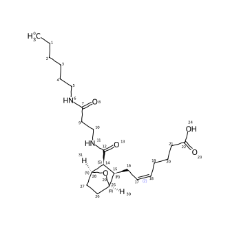 CCCCCCNC(=O)CCNC(=O)[C@H]1[C@@H](C/C=C\CCCC(=O)O)[C@H]2CC[C@@H]1O2